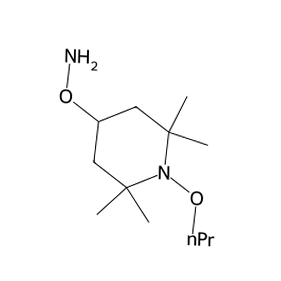 CCCON1C(C)(C)CC(ON)CC1(C)C